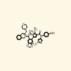 CCn1c(-c2cc3c(cc2C(=O)N2Cc4ccccc4C[C@H]2CN2CCOCC2)OCO3)cc(C(=O)N(c2ccc(O)cc2)c2cnn(C)c2)c1C